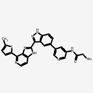 Cc1ccc(-c2nccc3[nH]c(-c4n[nH]c5ccc(-c6cncc(NC(=O)CC(C)(C)C)c6)cc45)nc23)s1